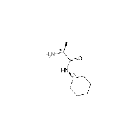 C[C@H](N)C(=O)N[C@H]1C[CH]CCC1